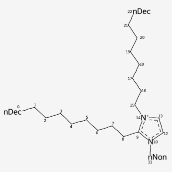 CCCCCCCCCCCCCCCCCCc1n(CCCCCCCCC)cc[n+]1CCCCCCCCCCCCCCCCC